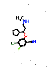 CNCCC(Oc1cc(Cl)c(F)cc1C#N)C1CCCC1